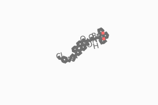 O=C(CCN1C(=O)c2ccc3c4cccc5c(N6CCN(Cc7ccc(CCl)cc7)CC6)ccc(c6ccc(c2c36)C1=O)c54)NCCP(Br)(c1ccccc1)(c1ccccc1)c1ccccc1